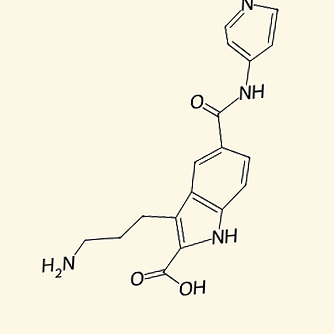 NCCCc1c(C(=O)O)[nH]c2ccc(C(=O)Nc3ccncc3)cc12